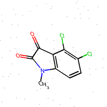 CN1C(=O)C(=O)c2c1ccc(Cl)c2Cl